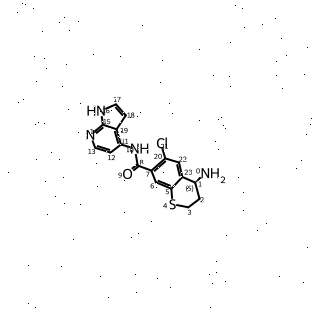 N[C@H]1CCSc2cc(C(=O)Nc3ccnc4[nH]ccc34)c(Cl)cc21